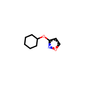 c1cc(OC2CCCCC2)no1